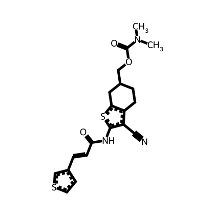 CN(C)C(=O)OCC1CCc2c(sc(NC(=O)C=Cc3ccsc3)c2C#N)C1